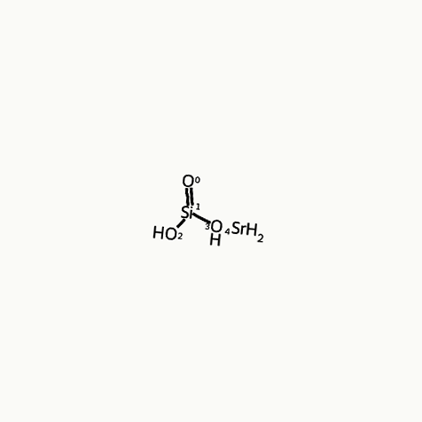 O=[Si](O)O.[SrH2]